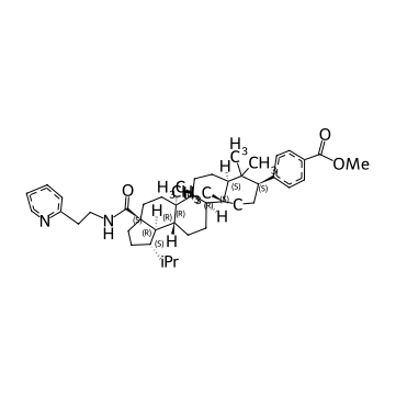 COC(=O)c1ccc([C@H]2CC[C@]3(C)[C@H]4CC[C@@H]5[C@H]6[C@H](C(C)C)CC[C@]6(C(=O)NCCc6ccccn6)CC[C@@]5(C)[C@]4(C)CC[C@H]3C2(C)C)cc1